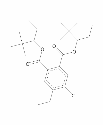 CCc1cc(C(=O)OC(CC)C(C)(C)C)c(C(=O)OC(CC)C(C)(C)C)cc1Cl